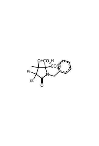 CCC1(CC)C(=O)N(Cc2ccccc2)C(C(=O)O)(C(=O)O)C1(C)O